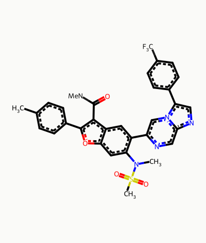 CNC(=O)c1c(-c2ccc(C)cc2)oc2cc(N(C)S(C)(=O)=O)c(-c3cn4c(-c5ccc(C(F)(F)F)cc5)cnc4cn3)cc12